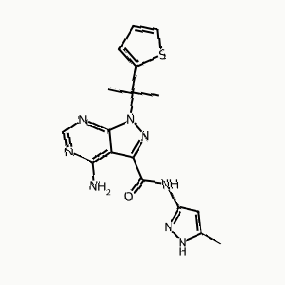 Cc1cc(NC(=O)c2nn(C(C)(C)c3cccs3)c3ncnc(N)c23)n[nH]1